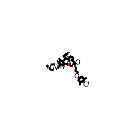 Cc1cc(OCCCN2CC(C)n3c(cc4cccc(-c5c(C)nc(CN6CCN(C)CC6)nc5C)c43)C2=O)cc(C)c1Cl